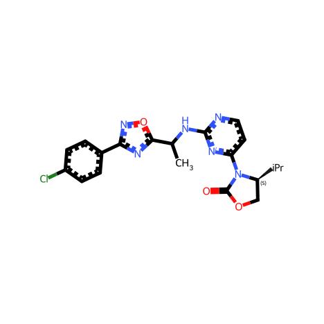 CC(Nc1nccc(N2C(=O)OC[C@@H]2C(C)C)n1)c1nc(-c2ccc(Cl)cc2)no1